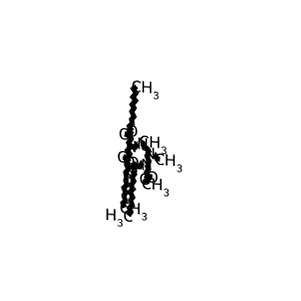 CCCCCCCCCCCCOC(=O)CCN(CCC(=O)OCCCCCCCCCCCC)CCN(C)CCN(CCC)CCN(CCC(=O)OC)CCC(=O)OCCCCCCCCCCCC